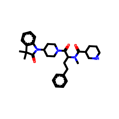 CN(C(=O)C1CCCNC1)C(CCc1ccccc1)C(=O)N1CCC(N2C(=O)C(C)(C)c3ccccc32)CC1